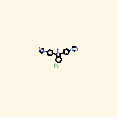 Cl.Cl.c1cn(-c2ccc(-c3[nH]c(-c4ccc(-n5ccnc5)cc4)c4c3CCCC4)cc2)cn1